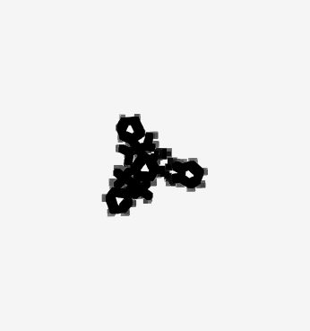 CC(C)C(c1ccccc1)(c1cc(C(c2ccccc2)(C(C)(C)C)C(C)(C)C)cc(-n2nc3ccccc3n2)c1O)C(C)C